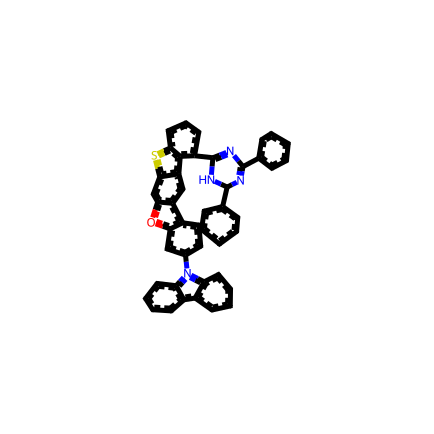 c1ccc(C2=NC(c3ccccc3)NC(c3cccc4sc5cc6oc7cc(-n8c9ccccc9c9ccccc98)ccc7c6cc5c34)=N2)cc1